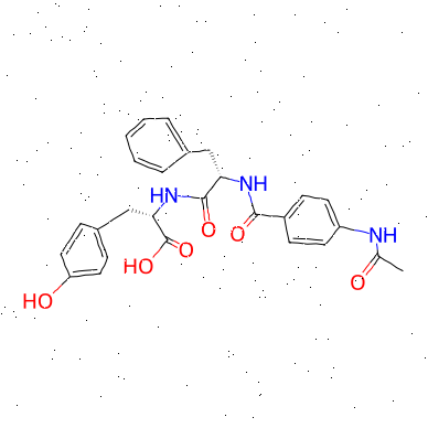 CC(=O)Nc1ccc(C(=O)N[C@@H](Cc2ccccc2)C(=O)N[C@@H](Cc2ccc(O)cc2)C(=O)O)cc1